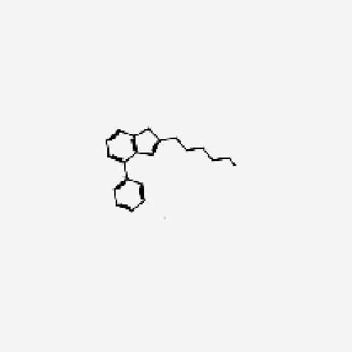 CCCCCCC1=Cc2c(cccc2-c2ccccc2)[CH]1.[Zr]